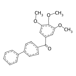 COc1cc(C(=O)c2ccc(-c3ccccc3)cc2)cc(OC)c1OC